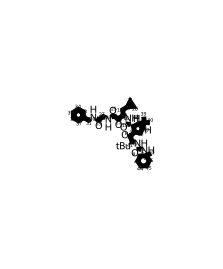 CC1(NC(=O)N[C@H](C(=O)C2C[C@H]3[C@@H]([C@H]2C(=O)NC(CC2CC2)C(=O)C(=O)NCC(=O)NCc2ccccc2)C3(C)C)C(C)(C)C)CCCCC1